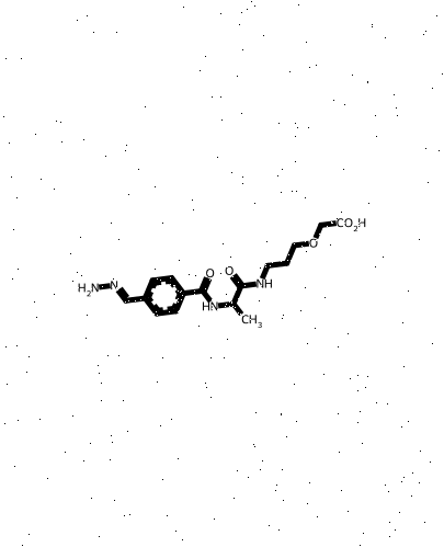 CC(NC(=O)c1ccc(C=NN)cc1)C(=O)NCCCOCC(=O)O